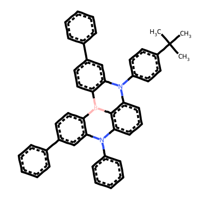 CC(C)(C)c1ccc(N2c3cc(-c4ccccc4)ccc3B3c4ccc(-c5ccccc5)cc4N(c4ccccc4)c4cccc2c43)cc1